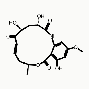 COc1cc(O)c2c(c1)NC(=O)[C@@H](O)C[C@H](O)C(=O)/C=C/C[C@H](C)OC2=O